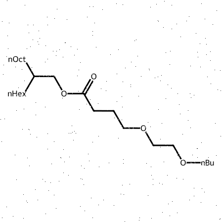 CCCCCCCCC(CCCCCC)COC(=O)CCCOCCOCCCC